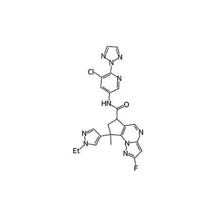 CCn1cc(C2(C)CC(C(=O)Nc3cnc(-n4nccn4)c(Cl)c3)c3cnc4cc(F)nn4c32)cn1